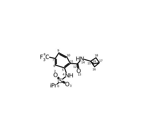 CC(C)S(=O)(=O)Nc1cc(C(F)(F)F)ccc1C(=O)NC12CC(C1)C2